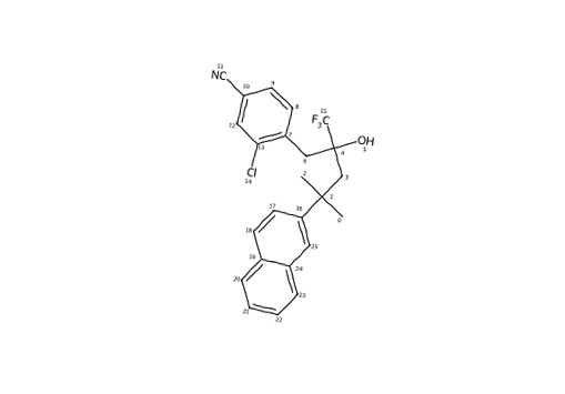 CC(C)(CC(O)(Cc1ccc(C#N)cc1Cl)C(F)(F)F)c1ccc2ccccc2c1